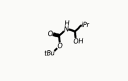 CC(C)C(O)NC(=O)OC(C)(C)C